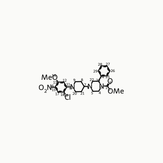 COC(=O)N1CCN(C2CCN(c3cc(OC)c([N+](=O)[O-])cc3Cl)CC2)CC1c1ccccc1